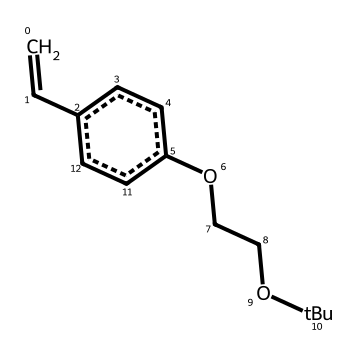 C=Cc1ccc(OCCOC(C)(C)C)cc1